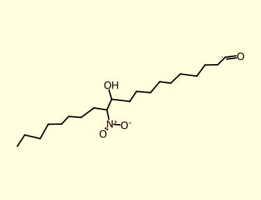 CCCCCCCCC(C(O)CCCCCCCCC[C]=O)[N+](=O)[O-]